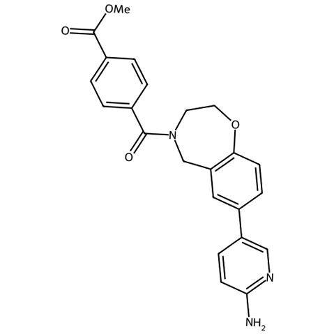 COC(=O)c1ccc(C(=O)N2CCOc3ccc(-c4ccc(N)nc4)cc3C2)cc1